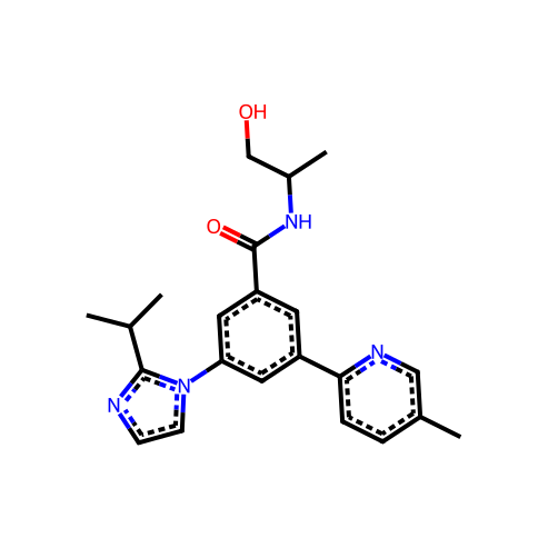 Cc1ccc(-c2cc(C(=O)NC(C)CO)cc(-n3ccnc3C(C)C)c2)nc1